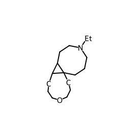 CCN1CCCC23CCCOCCCC2C3CC1